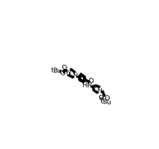 CC(C)(C)OC(=O)CN1CCC(NC(=O)c2ccc(N3CCN(C(=O)OC(C)(C)C)CC3)cc2)CC1